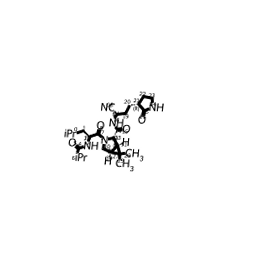 CC(C)C[C@H](NC(=O)C(C)C)C(=O)N1C[C@H]2[C@@H]([C@H]1C(=O)N[C@H](C#N)CC[C@@H]1CCNC1=O)C2(C)C